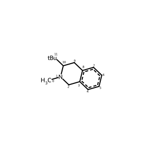 CN1Cc2ccccc2CC1C(C)(C)C